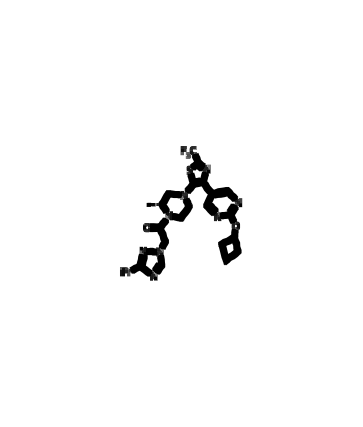 CC(C)c1ncn(CC(=O)N2CCN(c3sc(C(F)(F)F)nc3-c3cnc(OC4CCC4)nc3)C[C@H]2C)n1